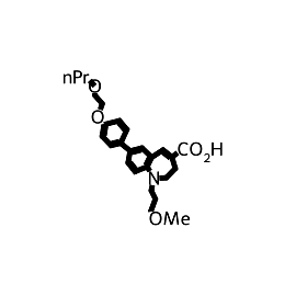 CCCOCCOc1ccc(-c2ccc3c(c2)C=C(C(=O)O)CCN3CCCOC)cc1